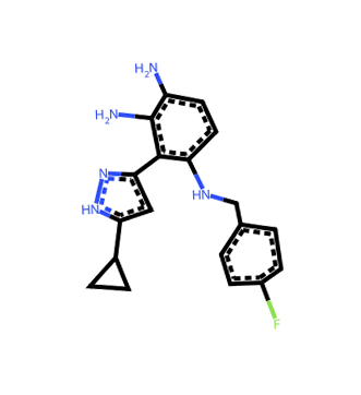 Nc1ccc(NCc2ccc(F)cc2)c(-c2cc(C3CC3)[nH]n2)c1N